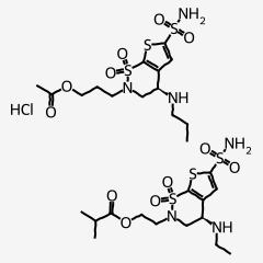 CCCN[C@H]1CN(CCCOC(C)=O)S(=O)(=O)c2sc(S(N)(=O)=O)cc21.CCN[C@H]1CN(CCOC(=O)C(C)C)S(=O)(=O)c2sc(S(N)(=O)=O)cc21.Cl